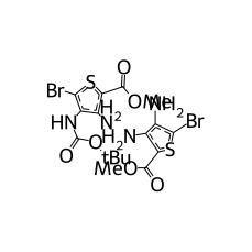 COC(=O)c1sc(Br)c(N)c1N.COC(=O)c1sc(Br)c(NC(=O)OC(C)(C)C)c1N